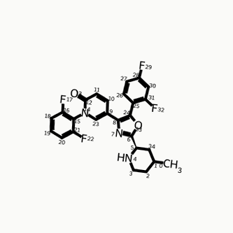 CC1CCN[C@@H](c2nc(-c3ccc(=O)n(-c4c(F)cccc4F)c3)c(-c3ccc(F)cc3F)o2)C1